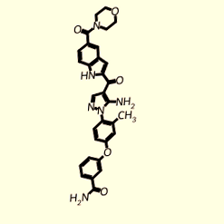 Cc1cc(Oc2cccc(C(N)=O)c2)ccc1-n1ncc(C(=O)c2cc3cc(C(=O)N4CCOCC4)ccc3[nH]2)c1N